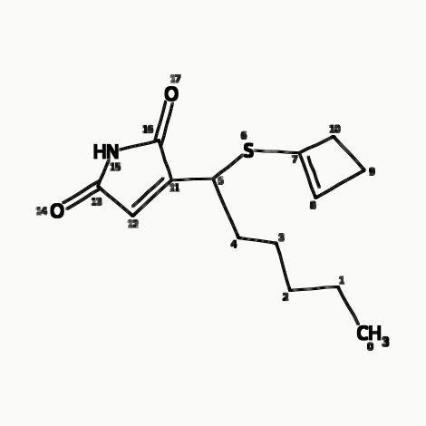 CCCCCC(SC1=CCC1)C1=CC(=O)NC1=O